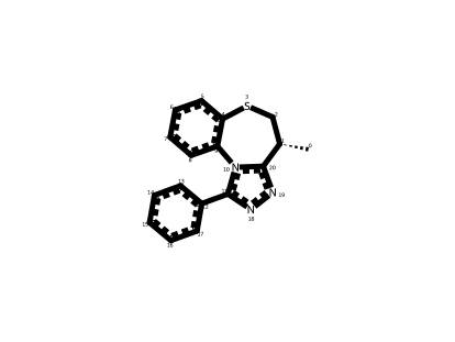 C[C@H]1CSc2ccccc2-n2c(-c3ccccc3)nnc21